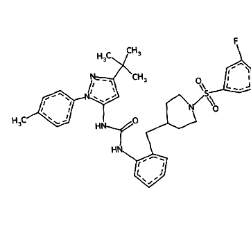 Cc1ccc(-n2nc(C(C)(C)C)cc2NC(=O)Nc2ccccc2CC2CCN(S(=O)(=O)c3cccc(F)c3)CC2)cc1